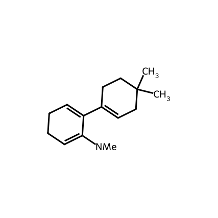 CNC1=CCCC=C1C1=CCC(C)(C)CC1